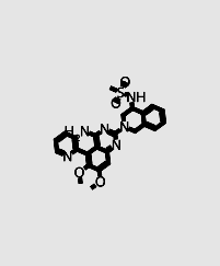 COc1cc2nc(N3Cc4ccccc4C(NS(C)(=O)=O)C3)nc(N)c2c(-c2ccccn2)c1OC